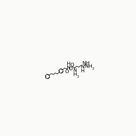 N=C(N)NCCCC(N)C(=O)ONC(=O)Cc1ccc(CCCCc2ccccc2)cc1